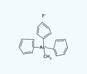 C[As+](c1ccccc1)(c1ccccc1)c1ccccc1.[F-]